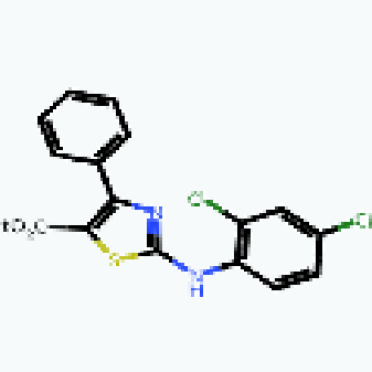 CCOC(=O)c1sc(Nc2ccc(Cl)cc2Cl)nc1-c1ccccc1